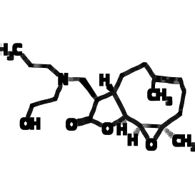 CCCN(CCO)C[C@@H]1C(=O)O[C@H]2[C@H]1CC/C(C)=C/CC[C@@]1(C)O[C@@H]21